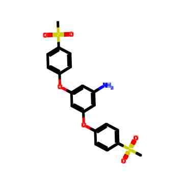 CS(=O)(=O)c1ccc(Oc2cc(N)cc(Oc3ccc(S(C)(=O)=O)cc3)c2)cc1